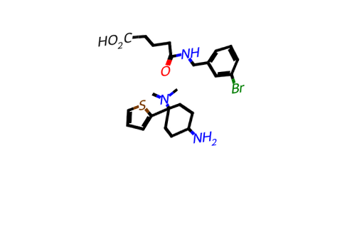 CN(C)C1(c2cccs2)CCC(N)CC1.O=C(O)CCCC(=O)NCc1cccc(Br)c1